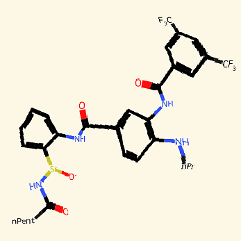 CCCCCC(=O)N[S+]([O-])c1ccccc1NC(=O)c1ccc(NCCC)c(NC(=O)c2cc(C(F)(F)F)cc(C(F)(F)F)c2)c1